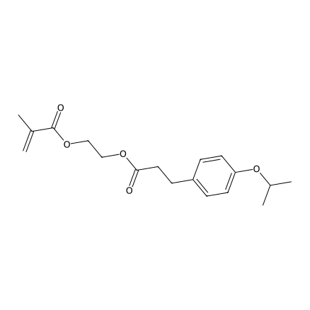 C=C(C)C(=O)OCCOC(=O)CCc1ccc(OC(C)C)cc1